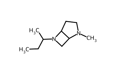 CCC(C)N1CC2C1CCN2C